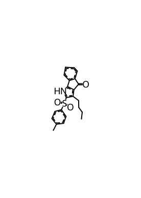 CCCCc1c(S(=O)(=O)c2ccc(C)cc2)[nH]c2c1C(=O)c1ccccc1-2